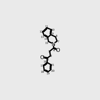 O=C(CCC(=O)N1CCc2ccccc2C1)c1ccccc1